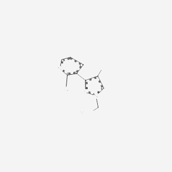 COCn1cc(C=O)c(-c2cccnc2Br)n1